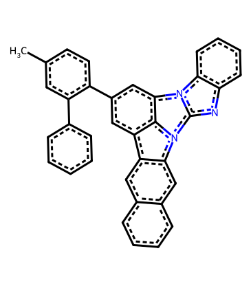 Cc1ccc(-c2cc3c4cc5ccccc5cc4n4c3c(c2)n2c3ccccc3nc24)c(-c2ccccc2)c1